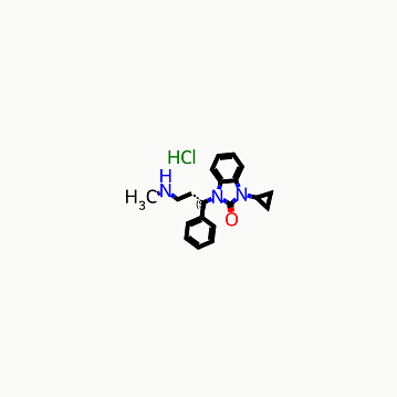 CNCC[C@@H](c1ccccc1)n1c(=O)n(C2CC2)c2ccccc21.Cl